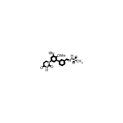 COc1c(-c2cccc(C=NNS(C)(=O)=O)c2)cc(N2CCC(=O)NC2=O)cc1C(C)(C)C